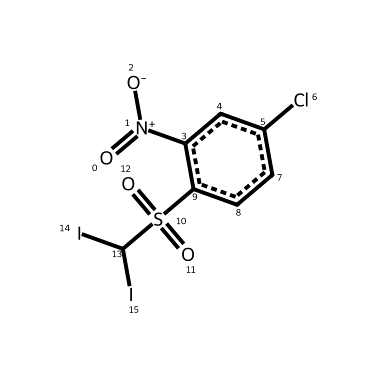 O=[N+]([O-])c1cc(Cl)ccc1S(=O)(=O)C(I)I